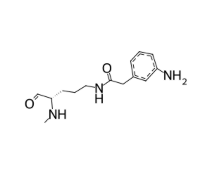 CN[C@H](C=O)CCCNC(=O)Cc1cccc(N)c1